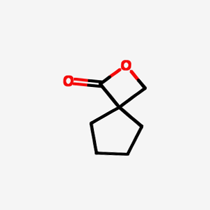 O=C1OCC12CCCC2